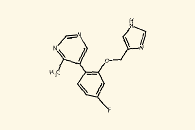 Cc1ncncc1-c1ccc(F)cc1OCc1c[nH]cn1